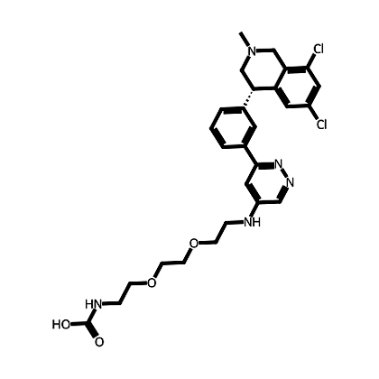 CN1Cc2c(Cl)cc(Cl)cc2[C@H](c2cccc(-c3cc(NCCOCCOCCNC(=O)O)cnn3)c2)C1